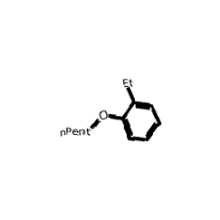 [CH2]Cc1ccccc1OCCCCC